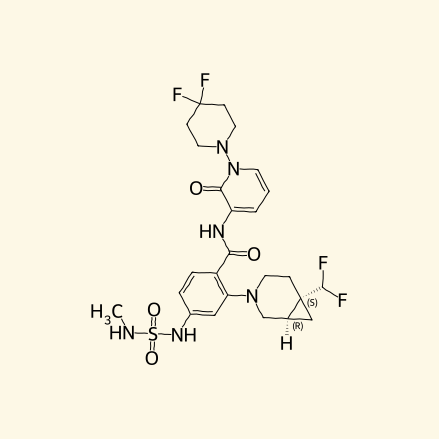 CNS(=O)(=O)Nc1ccc(C(=O)Nc2cccn(N3CCC(F)(F)CC3)c2=O)c(N2CC[C@@]3(C(F)F)C[C@H]3C2)c1